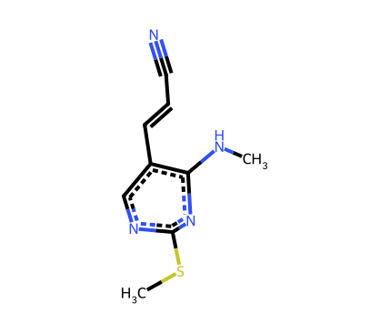 CNc1nc(SC)ncc1/C=C/C#N